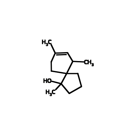 CC1=CC(C)C2(CCCC2(C)O)CC1